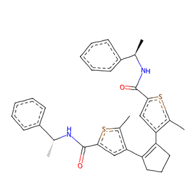 Cc1sc(C(=O)N[C@H](C)c2ccccc2)cc1C1=C(c2cc(C(=O)N[C@H](C)c3ccccc3)sc2C)CCC1